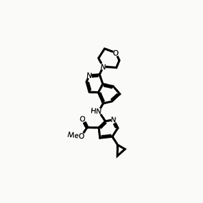 COC(=O)c1cc(C2CC2)cnc1Nc1cccc2c(N3CCOCC3)nccc12